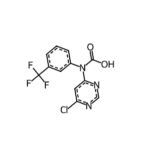 O=C(O)N(c1cccc(C(F)(F)F)c1)c1cc(Cl)ncn1